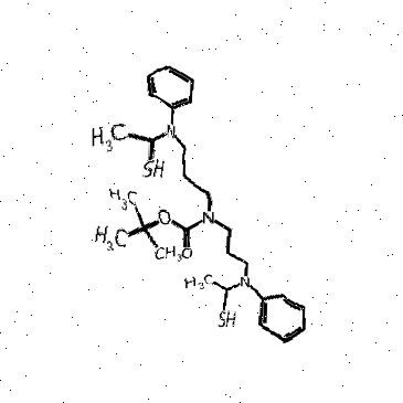 CC(S)N(CCCN(CCCN(c1ccccc1)C(C)S)C(=O)OC(C)(C)C)c1ccccc1